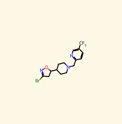 FC(F)(F)c1ccc(CN2CCC(C3CC(Br)=NO3)CC2)nc1